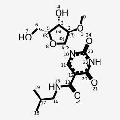 CO[C@@H]1[C@@H](O)[C@@H](CO)O[C@H]1n1cc(C(=O)NCC(C)C)c(=O)[nH]c1=O